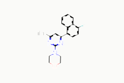 CC(C)c1cc(-c2ccc(F)c3ccccc23)nc(N2CCOCC2)n1